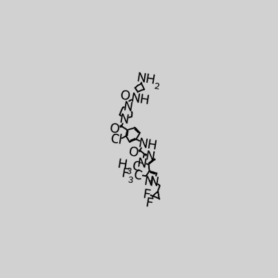 Cn1c(-c2cn(CC3CC3(F)F)nc2C(F)(F)F)cnc1C(=O)Nc1ccc(C(=O)N2CCN(C(=O)N[C@H]3C[C@@H](N)C3)CC2)c(Cl)c1